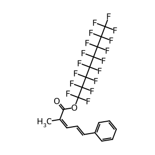 CC(=CC=Cc1ccccc1)C(=O)OC(F)(F)C(F)(F)C(F)(F)C(F)(F)C(F)(F)C(F)(F)C(F)(F)C(F)(F)F